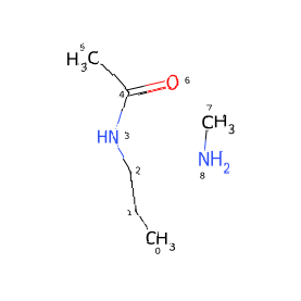 CCCNC(C)=O.CN